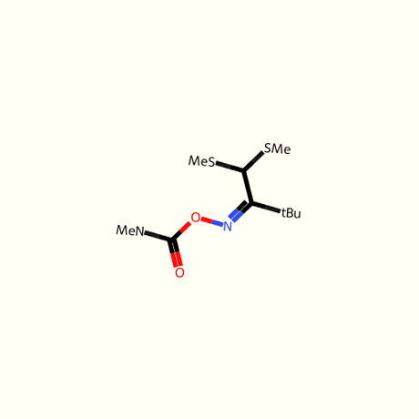 CNC(=O)ON=C(C(SC)SC)C(C)(C)C